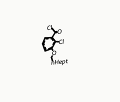 CCCCCCCCOc1cccc(C(=O)Cl)c1Cl